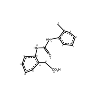 Cc1ccccc1NC(=O)Nc1ccccc1CC(=O)O